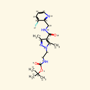 Cc1nn(CCNC(=O)OC(C)(C)C)c(C)c1C(=O)NCc1ncccc1F